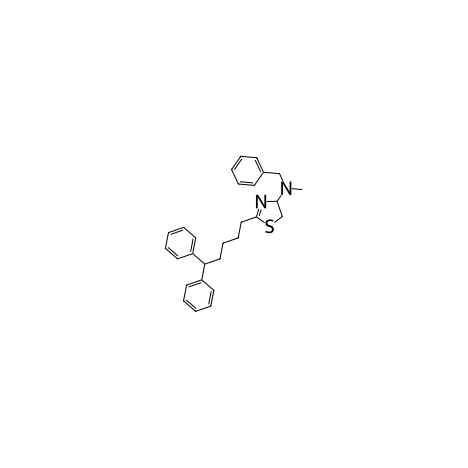 CN(Cc1ccccc1)C1CSC(CCCCC(c2ccccc2)c2ccccc2)=N1